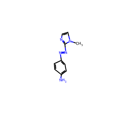 Cn1ccnc1/N=N/c1ccc(N)cc1